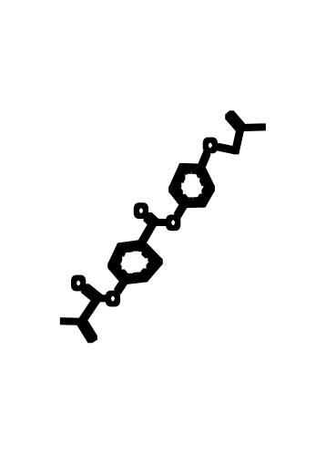 C=C(C)COc1ccc(OC(=O)c2ccc(OC(=O)C(=C)C)cc2)cc1